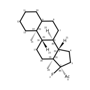 CC(=O)[C@@]1(F)CC[C@H]2[C@@H]3CCC4CCCC[C@]4(C)[C@H]3CC[C@@]21C